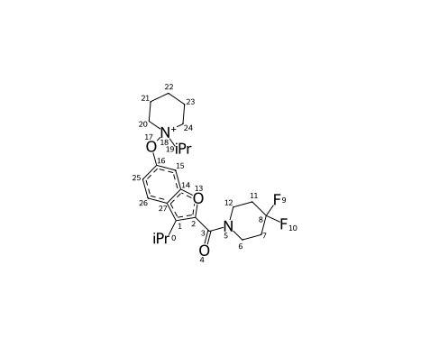 CC(C)c1c(C(=O)N2CCC(F)(F)CC2)oc2cc(O[N+]3(C(C)C)CCCCC3)ccc12